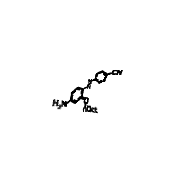 CCCCCCCCOc1cc(N)ccc1N=Nc1ccc(C#N)cc1